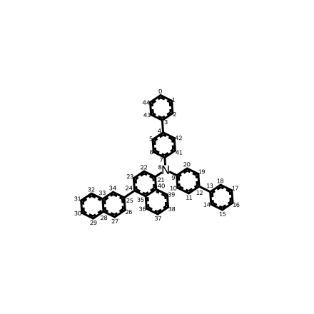 c1ccc(-c2ccc(N(c3ccc(-c4ccccc4)cc3)c3ccc(-c4ccc5ccccc5c4)c4ccccc34)cc2)cc1